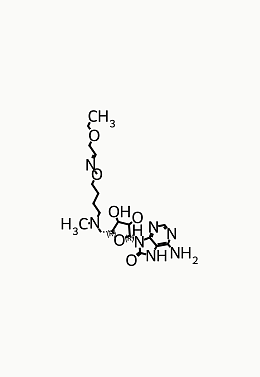 CCOCC=NOCCCCN(C)C[C@H]1O[C@@H](n2c(=O)[nH]c3c(N)ncnc32)C(O)C1O